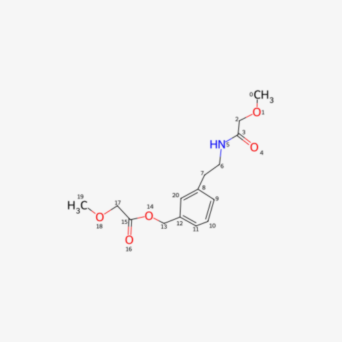 COCC(=O)NCCc1cccc(COC(=O)COC)c1